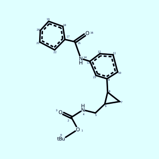 CC(C)(C)OC(=O)NCC1CC1c1cccc(NC(=O)c2ccccc2)c1